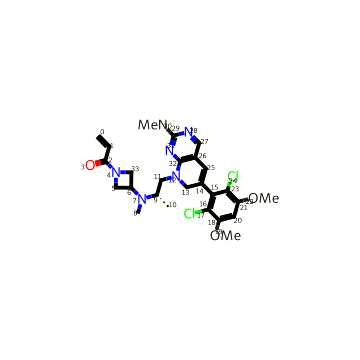 C=CC(=O)N1CC(N(C)[C@@H](C)CN2CC(c3c(Cl)c(OC)cc(OC)c3Cl)=Cc3cnc(NC)nc32)C1